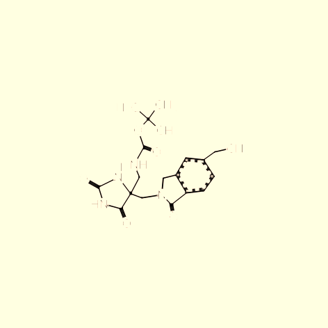 CCc1ccc2c(c1)CN(CC1(CNC(=O)OC(C)(C)C)NC(=O)NC1=O)C2=O